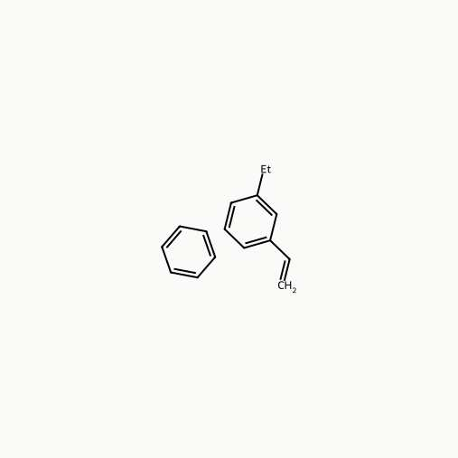 C=Cc1cccc(CC)c1.c1ccccc1